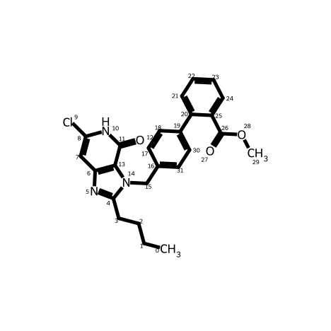 CCCCc1nc2cc(Cl)[nH]c(=O)c2n1Cc1ccc(-c2ccccc2C(=O)OC)cc1